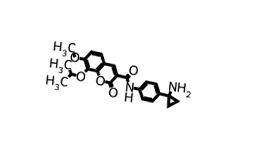 COc1ccc2cc(C(=O)Nc3ccc(C4(N)CC4)cc3)c(=O)oc2c1OC(C)C